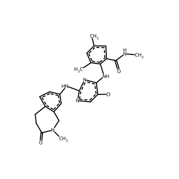 CNC(=O)c1cc(C)cc(C)c1Nc1nc(Nc2ccc3c(c2)CN(C)C(=O)CC3)ncc1Cl